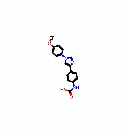 O=C(S)Nc1ccc(-c2cn(-c3ccc(OC(F)(F)F)cc3)cn2)cc1